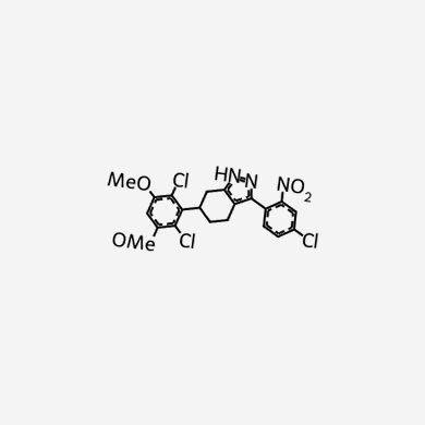 COc1cc(OC)c(Cl)c(C2CCc3c(-c4ccc(Cl)cc4[N+](=O)[O-])n[nH]c3C2)c1Cl